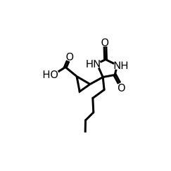 CCCCCC1(C2CC2C(=O)O)NC(=O)NC1=O